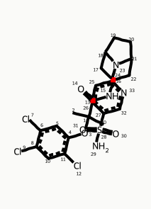 CC(C)(Oc1cc(Cl)c(Cl)cc1Cl)C(=O)NC1CC2CCC(C1)N2c1ccc(S(N)(=O)=O)cn1